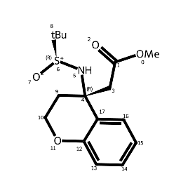 COC(=O)C[C@]1(N[S@@+]([O-])C(C)(C)C)CCOc2ccccc21